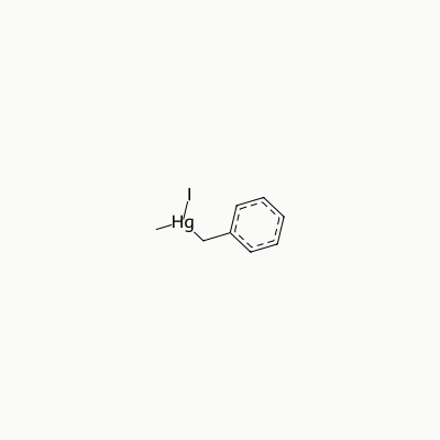 [CH3][Hg]([I])[CH2]c1ccccc1